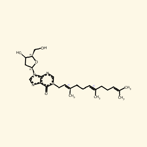 CC(C)=CCC/C(C)=C/CC/C(C)=C/Cn1cnc2c(ncn2[C@H]2CC(O)[C@@H](CO)O2)c1=O